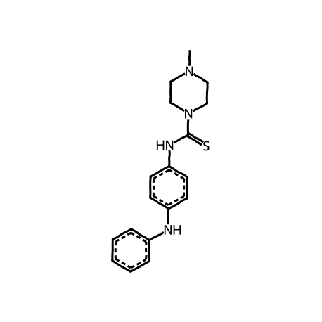 CN1CCN(C(=S)Nc2ccc(Nc3ccccc3)cc2)CC1